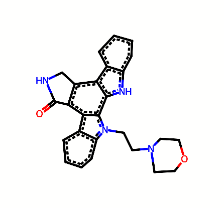 O=C1NCc2c1c1c3ccccc3n(CCN3CCOCC3)c1c1[nH]c3ccccc3c21